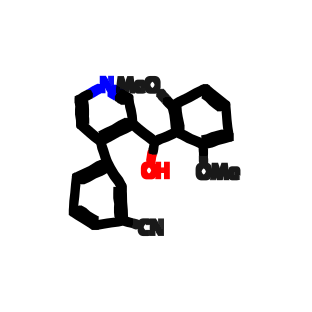 COc1cccc(OC)c1C(O)c1cnccc1-c1cccc(C#N)c1